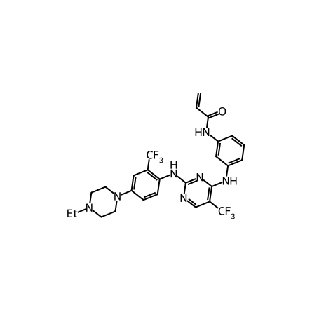 C=CC(=O)Nc1cccc(Nc2nc(Nc3ccc(N4CCN(CC)CC4)cc3C(F)(F)F)ncc2C(F)(F)F)c1